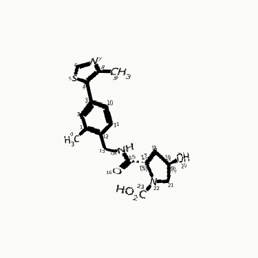 Cc1cc(-c2scnc2C)ccc1CNC(=O)[C@@H]1C[C@@H](O)CN1C(=O)O